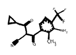 Cc1c(C(=O)C(C#N)C(=O)C2CC2)ccc(C(F)(F)F)c1N